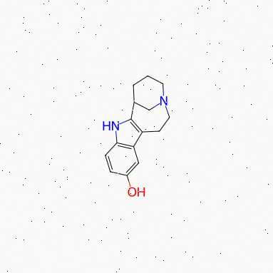 Oc1ccc2[nH]c3c(c2c1)CCN1CCCC3C1